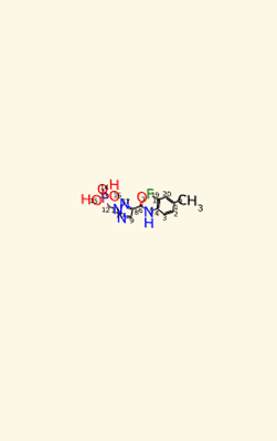 Cc1ccc(NC(=O)c2cnn(CP(=O)(O)O)n2)c(F)c1